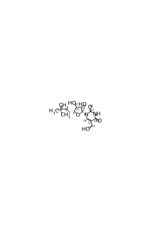 C=P(C)(C)CC[C@H]1O[C@@H](n2cc(CO)c(=O)[nH]c2=O)[C@H](O)[C@@H]1O